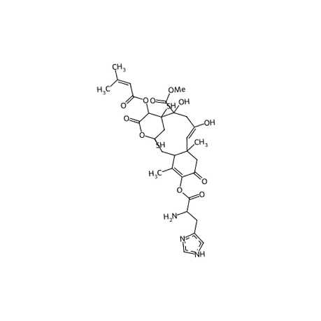 COC(=O)C1(O)C/C(O)=C/C2(C)CC(=O)C(OC(=O)C(N)Cc3c[nH]cn3)=C(C)C2CC2(S)CC1(S)C(OC(=O)C=C(C)C)C(=O)O2